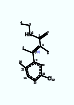 C=C(NCC)/C(C)=C(\C)c1cc(Cl)ccc1C